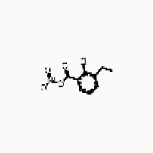 CCc1cccc(C(=O)O[N+](=O)[O-])c1Cl